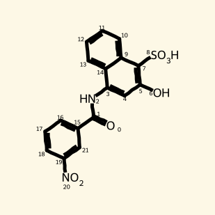 O=C(Nc1cc(O)c(S(=O)(=O)O)c2ccccc12)c1cccc([N+](=O)[O-])c1